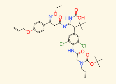 C=CCOc1ccc(C(CC(=O)N=C(NC(=O)O)C(c2cc(Cl)c(NC(=O)CN(CC=C)C(=O)OC(C)(C)C)c(Cl)c2)C(C)(C)C)=NOCC)cc1